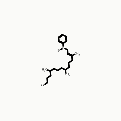 CCN(C/C=C(\C)CCCC(C)CCCC(C)CCCC(C)C)c1ccccc1